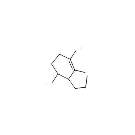 CC1=C2OCCC2C(C=O)CC1